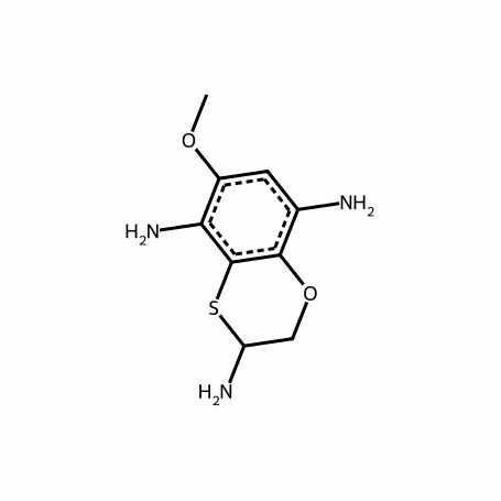 COc1cc(N)c2c(c1N)SC(N)CO2